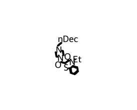 CCCCCCCCCCCCN1CCN(C(=O)C2Sc3ccccc3N(CC)C2=O)CC1